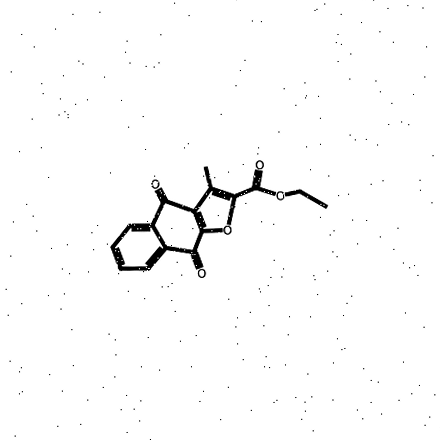 CCOC(=O)c1oc2c(c1C)C(=O)c1ccccc1C2=O